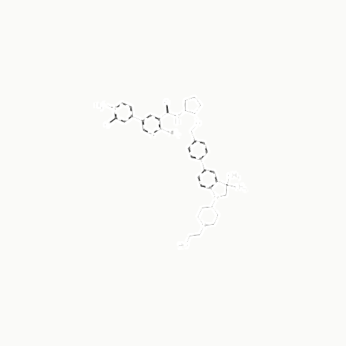 Cn1ccc(-c2cnc(N)c(C(=O)N[C@H]3CCC[C@@H]3OCc3ccc(-c4ccc5c(c4)C(C)(C)CN5C4CCN(CCO)CC4)cc3)c2)cc1=O